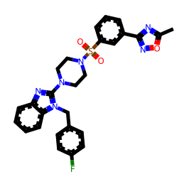 Cc1nc(-c2cccc(S(=O)(=O)N3CCN(c4nc5ccccc5n4Cc4ccc(F)cc4)CC3)c2)no1